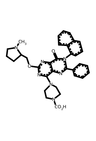 CN1CCCC1COc1nc(N2CCN(C(=O)O)CC2)c2nc(-c3ccccc3)n(-c3cccc4ccccc34)c(=O)c2n1